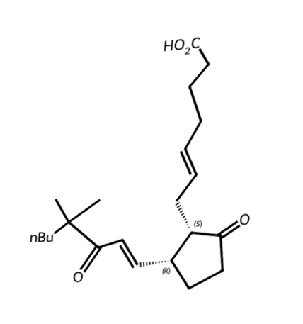 CCCCC(C)(C)C(=O)C=C[C@H]1CCC(=O)[C@H]1CC=CCCCC(=O)O